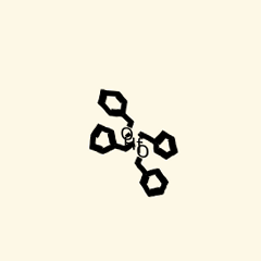 c1ccc(C[O][Hf]([CH2]c2ccccc2)([CH2]c2ccccc2)[O]Cc2ccccc2)cc1